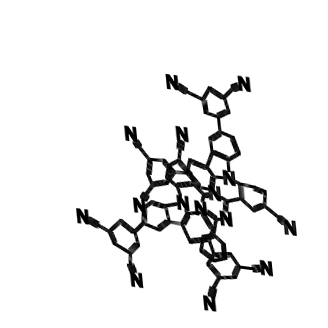 N#Cc1cc(C#N)cc(-c2ccc3c(c2)c2cc(-c4cc(C#N)cc(C#N)c4)ccc2n3-c2ccc(C#N)cc2-c2nc(-c3ccccc3)nc(-c3cc(C#N)ccc3-n3c4ccc(-c5cc(C#N)cc(C#N)c5)cc4c4cc(-c5cc(C#N)cc(C#N)c5)ccc43)n2)c1